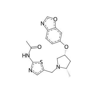 CC(=O)Nc1ncc(CN2C[C@H](Oc3ccc4ncoc4c3)C[C@@H]2C)s1